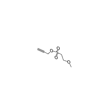 C#CCOS(=O)(=O)CCOC